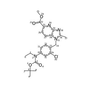 CCN(C(=O)OC(C)(C)C)c1ccc(Cn2c(C)nc3nc(C(=O)OC)ccc32)c(Cl)c1